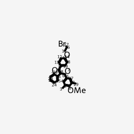 COc1c(C)cc(C(=O)c2c(-c3ccc(OCCBr)cc3)oc3ccccc23)cc1C